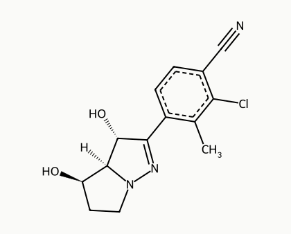 Cc1c(C2=NN3CC[C@@H](O)[C@H]3[C@@H]2O)ccc(C#N)c1Cl